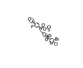 O=C(Oc1cccs1)N(CC1C2CN(S(=O)(=O)c3cnc(Cl)c(Br)c3)CC12)c1ccc(N2CCOCC2)c(F)c1